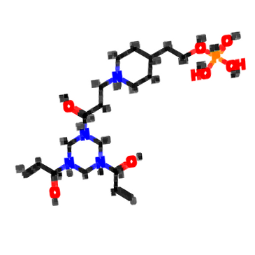 C=CC(=O)N1CN(C(=O)C=C)CN(C(=O)CCN2CCC(CCOP(=O)(O)O)CC2)C1